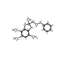 Cc1cc(C)c2c(c1C)OC(C)(COCc1ccccc1)C2